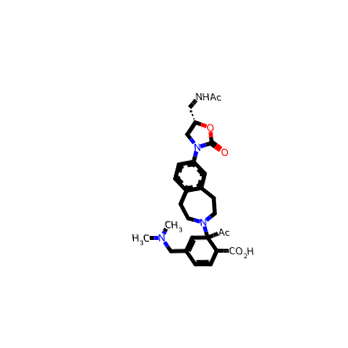 CC(=O)NC[C@H]1CN(c2ccc3c(c2)CCN(C2(C(C)=O)C=C(CN(C)C)C=CC2C(=O)O)CC3)C(=O)O1